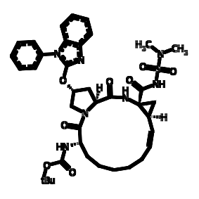 CN(C)S(=O)(=O)NC(=O)[C@@]12C[C@H]1/C=C\CCCCC[C@H](NC(=O)OC(C)(C)C)C(=O)N1C[C@H](Oc3nc4ccccc4n3-c3ccccc3)C[C@H]1C(=O)N2